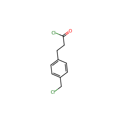 O=C(Cl)CCc1ccc(CCl)cc1